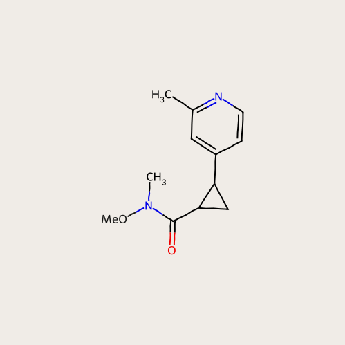 CON(C)C(=O)C1CC1c1ccnc(C)c1